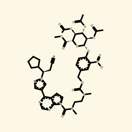 COC(=O)[C@H]1O[C@@H](Oc2ccc(COC(=O)N(C)CCN(C)C(=O)n3ccc4c(-c5cnn([C@H](CC#N)C6CCCC6)c5)ncnc43)cc2[N+](=O)[O-])[C@H](OC(C)=O)[C@@H](OC(C)=O)[C@@H]1OC(C)=O